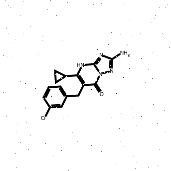 Nc1nc2[nH]c(C3CC3)c(Cc3cccc(Cl)c3)c(=O)n2n1